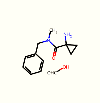 CN(Cc1ccccc1)C(=O)C1(N)CC1.O=CO